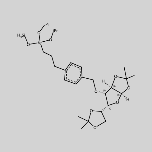 CC(C)O[Si](CCCc1ccc(CO[C@@H]2[C@H]3OC(C)(C)O[C@H]3O[C@@H]2C2COC(C)(C)O2)cc1)(O[SiH3])OC(C)C